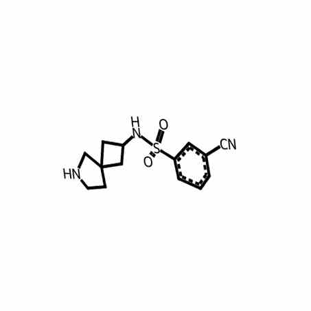 N#Cc1cccc(S(=O)(=O)NC2CC3(CCNC3)C2)c1